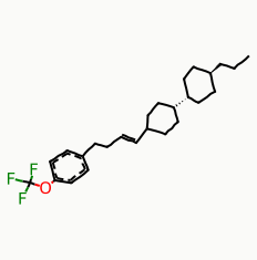 CCC[C@H]1CC[C@H](C2CCC(/C=C/CCc3ccc(OC(F)(F)F)cc3)CC2)CC1